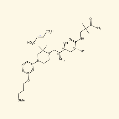 COCCCOc1cccc(N2CCN(C[C@H](N)[C@@H](O)C[C@H](C(=O)NCC(C)(C)C(N)=O)C(C)C)C(C)(C)C2)c1.O=C(O)/C=C/C(=O)O